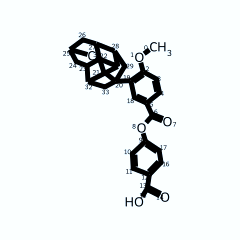 COc1ccc(C(=O)Oc2ccc(C(=O)O)cc2)cc1C12CC3C4CC5CC3C(C1)C(C5)C4C2